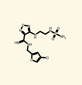 N=C(NCc1cc(Cl)co1)c1nonc1NCCNS(N)(=O)=O